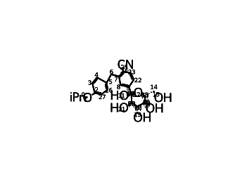 CC(C)Oc1ccc(Cc2cc([C@@]3(O)O[C@H](CO)[C@@H](O)[C@H](O)[C@H]3O)ccc2C#N)cc1